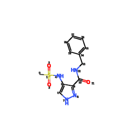 CS(=O)(=O)Nc1c[nH]nc1C(=O)NCc1ccccc1